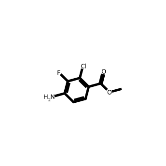 COC(=O)c1ccc(N)c(F)c1Cl